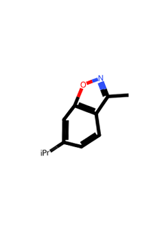 Cc1noc2cc(C(C)C)ccc12